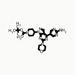 CC(C)(C)OC(=O)N1CCC(n2ncc3c(-c4cnc(N)nc4)nc(N4CCOCC4)nc32)CC1